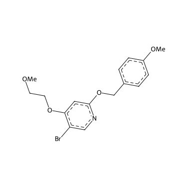 COCCOc1cc(OCc2ccc(OC)cc2)ncc1Br